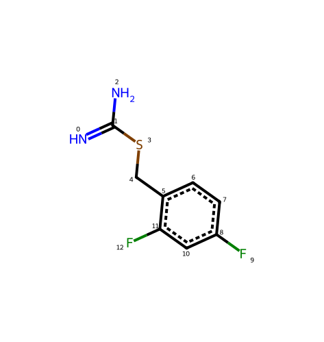 N=C(N)SCc1ccc(F)cc1F